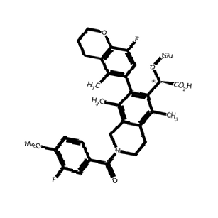 COc1ccc(C(=O)N2CCc3c(C)c([C@@H](OC(C)(C)C)C(=O)O)c(-c4cc(F)c5c(c4C)CCCO5)c(C)c3C2)cc1F